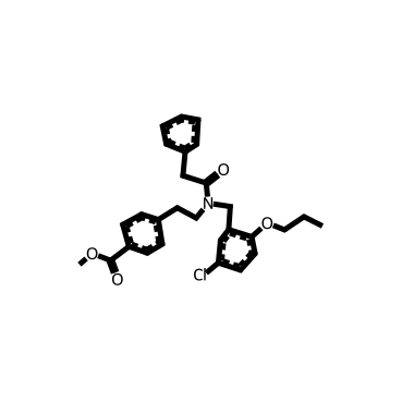 CCCOc1ccc(Cl)cc1CN(CCc1ccc(C(=O)OC)cc1)C(=O)Cc1ccccc1